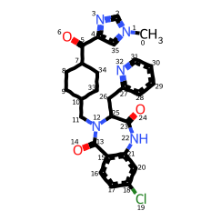 Cn1cnc(C(=O)C2CCC(CN3C(=O)c4ccc(Cl)cc4NC(=O)C3Cc3ccccn3)CC2)c1